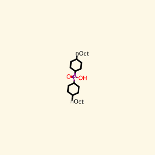 CCCCCCCCC1CCC(P(=O)(O)C2CCC(CCCCCCCC)CC2)CC1